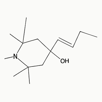 CCC=CC1(O)CC(C)(C)N(C)C(C)(C)C1